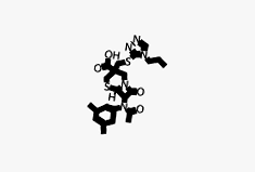 CCCn1cnnc1SCC1(C(=O)O)CS[C@@H]2C(N(C(C)=O)C3=CC(C)C=C(C)C3)C(=O)N2C1